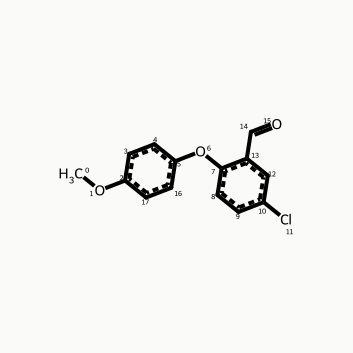 COc1ccc(Oc2ccc(Cl)cc2C=O)cc1